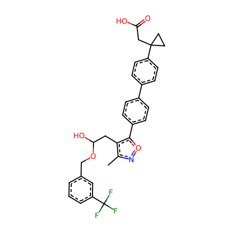 Cc1noc(-c2ccc(-c3ccc(C4(CC(=O)O)CC4)cc3)cc2)c1CC(O)OCc1cccc(C(F)(F)F)c1